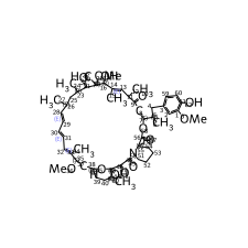 COc1cc(C[C@@H](C)[C@@H]2CC(=O)C(C)/C=C(\C)[C@@H](O)[C@](C)(OC)C(=O)[C@H](C)C[C@H](C)/C=C/C=C/C=C(\C)[C@@H](OC)C[C@@H]3CC[C@@H](C)[C@@](O)(O3)C(=O)C(=O)N3CCCC[C@H]3C(=O)O2)ccc1O